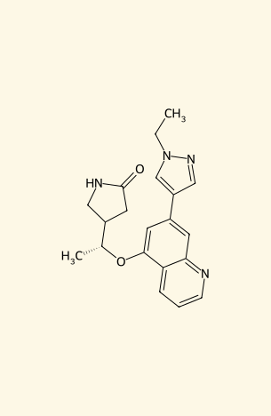 CCn1cc(-c2cc(O[C@H](C)C3CNC(=O)C3)c3cccnc3c2)cn1